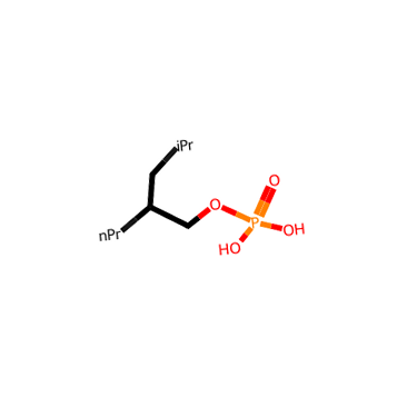 CCCC(COP(=O)(O)O)CC(C)C